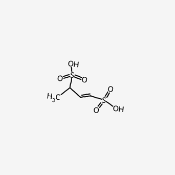 CC(C=CS(=O)(=O)O)S(=O)(=O)O